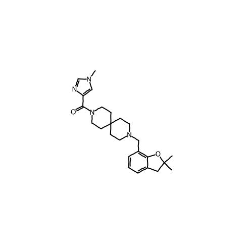 Cn1cnc(C(=O)N2CCC3(CCN(Cc4cccc5c4OC(C)(C)C5)CC3)CC2)c1